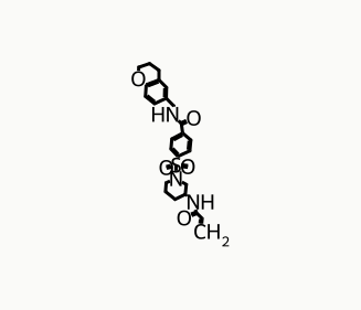 C=CC(=O)N[C@H]1CCCN(S(=O)(=O)c2ccc(C(=O)NCc3ccc4c(c3)CCCO4)cc2)C1